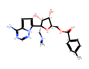 C=NC[C@@]1(c2ccc3c(N)ncnn23)O[C@H](COC(=O)c2ccc(C)cc2)[C@@H](O)[C@H]1O